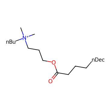 CCCCCCCCCCCCCC(=O)OCCC[N+](C)(C)CCCC